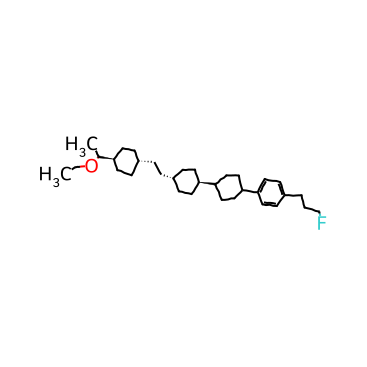 CCOC(C)[C@H]1CC[C@H](CC[C@H]2CC[C@H](C3CCC(c4ccc(CCCF)cc4)CC3)CC2)CC1